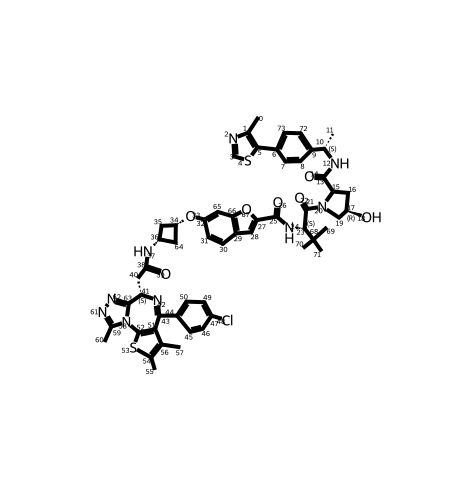 Cc1ncsc1-c1ccc([C@H](C)NC(=O)C2C[C@@H](O)CN2C(=O)[C@@H](NC(=O)c2cc3ccc(O[C@H]4C[C@@H](NC(=O)C[C@@H]5N=C(c6ccc(Cl)cc6)c6c(sc(C)c6C)-n6c(C)nnc65)C4)cc3o2)C(C)(C)C)cc1